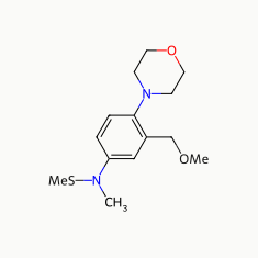 COCc1cc(N(C)SC)ccc1N1CCOCC1